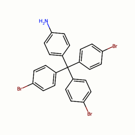 Nc1ccc(C(c2ccc(Br)cc2)(c2ccc(Br)cc2)c2ccc(Br)cc2)cc1